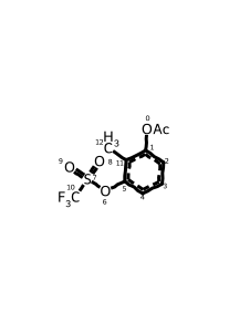 CC(=O)Oc1cccc(OS(=O)(=O)C(F)(F)F)c1C